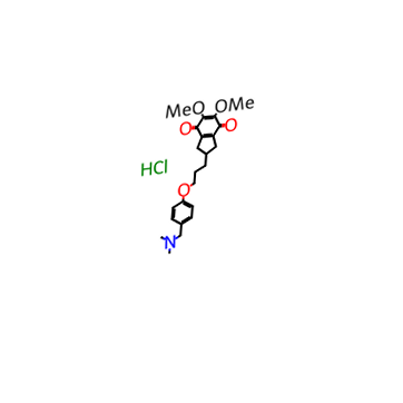 COC1=C(OC)C(=O)C2=C(CC(CCCOc3ccc(CN(C)C)cc3)C2)C1=O.Cl